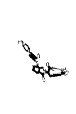 O=C1CCC(N2Cc3c(SCC(=O)N4CCNCC4)cccc3C2=O)C(=O)N1